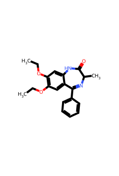 CCOc1cc2c(cc1OCC)C(c1ccccc1)=NC(C)C(=O)N2